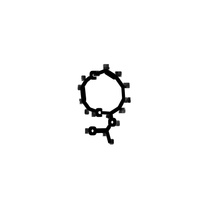 CC(=O)OC1CCC=CCCC=CCCC1